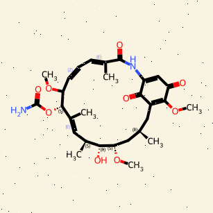 COC1=C2C[C@@H](C)C[C@H](OC)[C@H](O)[C@@H](C)/C=C(\C)[C@H](OC(N)=O)C(OC)/C=C\C=C(/C)C(=O)NC(=CC1=O)C2=O